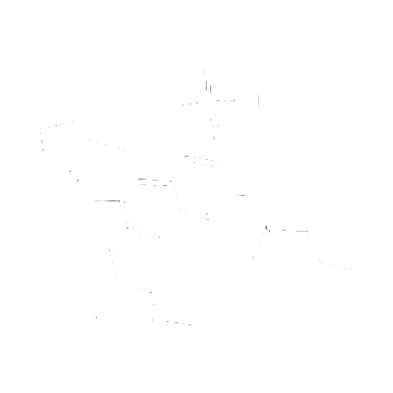 CCCC(=O)Oc1ccc2c3c(c4cc(OC)c(OC)cc4c2c1)CN1CCC[C@H]1C3.CS(=O)(=O)O